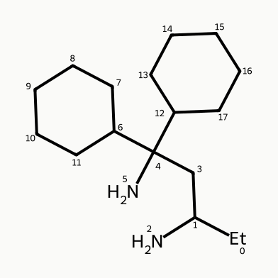 CCC(N)CC(N)(C1CCCCC1)C1CCCCC1